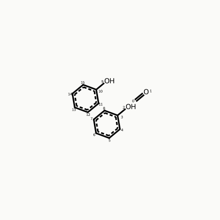 C=O.Oc1ccccc1.Oc1ccccc1